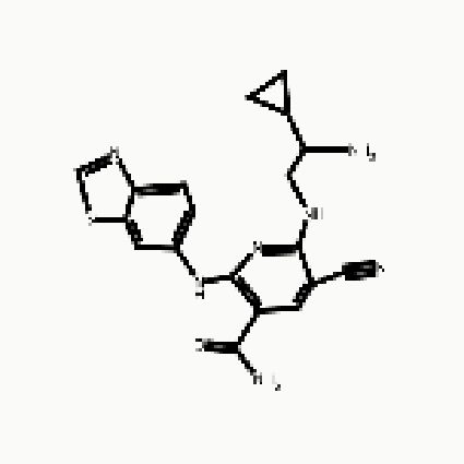 N#Cc1cc(C(N)=O)c(Nc2ccc3ncsc3c2)nc1NCC(N)C1CC1